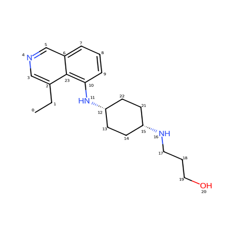 CCc1cncc2cccc(N[C@H]3CC[C@@H](NCCCO)CC3)c12